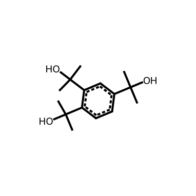 CC(C)(O)c1ccc(C(C)(C)O)c(C(C)(C)O)c1